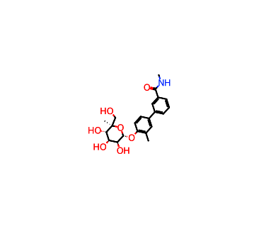 CNC(=O)c1cccc(-c2ccc(O[C@H]3O[C@](C)(CO)[C@@H](O)[C@H](O)[C@@H]3O)c(C)c2)c1